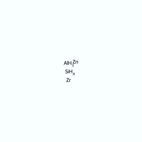 [AlH3].[SiH4].[Zn].[Zr]